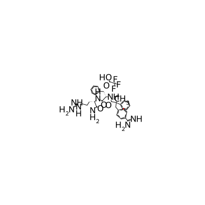 C[C@](Cc1ccc(C(=N)N)cc1)(C(=O)N[C@@H](Cc1ccccc1)C(=O)N[C@@H](CCCNC(=N)N)C(N)=O)c1ccccc1.O=C(O)C(F)(F)F